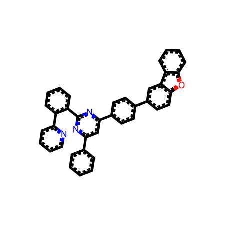 c1ccc(-c2cc(-c3ccc(-c4ccc5oc6ccccc6c5c4)cc3)nc(-c3ccccc3-c3ccccn3)n2)cc1